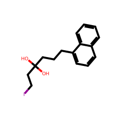 OC(O)(CCI)CCCc1cccc2ccccc12